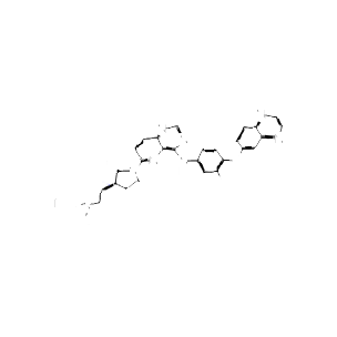 Cc1cc(Nc2ncnc3ccc(N4CC/C(=C\CN(C)C)C4=O)nc23)ccc1Oc1ccc2nccnc2c1